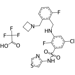 O=C(O)C(F)(F)F.O=S(=O)(Nc1cscn1)c1cc(Cl)cc(NCc2c(F)cccc2CN2CCC2)c1F